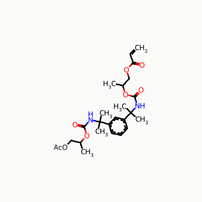 C=CC(=O)OCC(C)OC(=O)NC(C)(C)c1cccc(C(C)(C)NC(=O)OC(C)COC(C)=O)c1